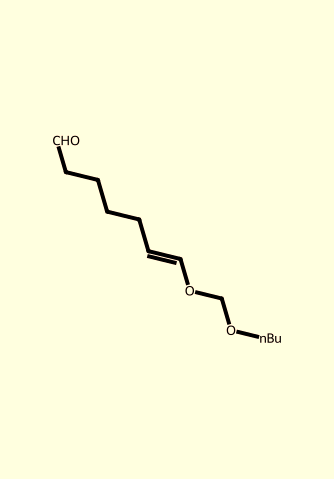 CCCCOCOC=CCCCCC=O